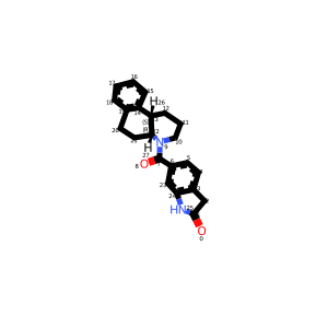 O=C1Cc2ccc(C(=O)N3CCC[C@H]4c5ccccc5CC[C@H]43)cc2N1